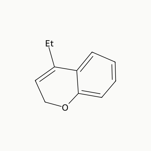 [CH2]CC1=CCOc2ccccc21